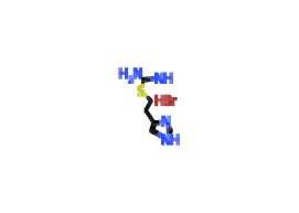 Br.N=C(N)SCCc1c[nH]cn1